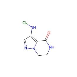 O=C1NCCn2ncc(NCl)c21